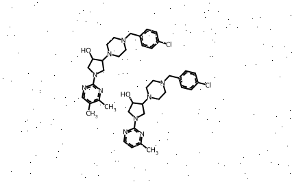 Cc1ccnc(N2CC(O)C(N3CCN(Cc4ccc(Cl)cc4)CC3)C2)n1.Cc1cnc(N2CC(O)C(N3CCN(Cc4ccc(Cl)cc4)CC3)C2)nc1C